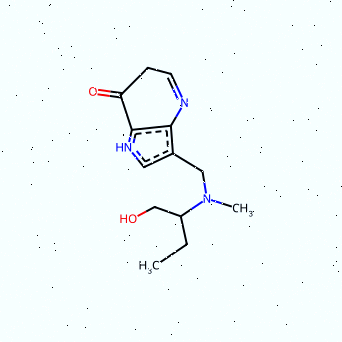 CCC(CO)N(C)Cc1c[nH]c2c1N=CCC2=O